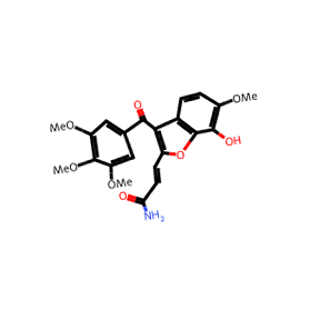 COc1cc(C(=O)c2c(/C=C/C(N)=O)oc3c(O)c(OC)ccc23)cc(OC)c1OC